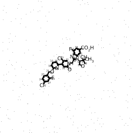 CC1(C)COC[C@H]1n1c(Cn2cc(Cl)c(-c3cccc(OCc4ccc(Cl)cc4F)n3)cc2=O)nc2c(F)cc(C(=O)O)cc21